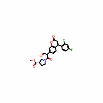 COC(=O)[C@H]1CCN(C(=O)C(C=O)c2ccc3c(-c4ccc(F)cc4Cl)cc(=O)oc3c2)C1